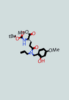 C=CCN(Cc1ccc(OC)cc1O)C(=O)CC[C@H](NC(=O)OC(C)(C)C)C(=O)OC